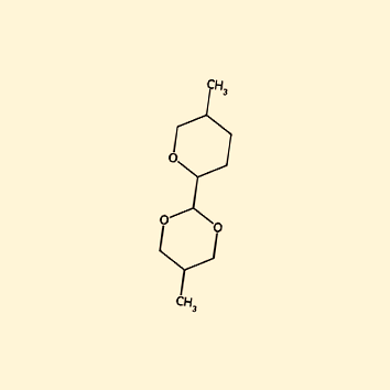 CC1CCC(C2OCC(C)CO2)OC1